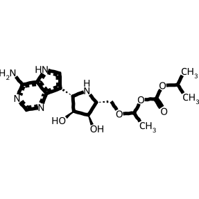 CC(C)OC(=O)OC(C)OC[C@H]1N[C@@H](c2c[nH]c3c(N)ncnc23)[C@H](O)[C@@H]1O